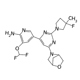 CC1(F)CCN(c2nc(-c3cnc(N)c(OC(F)F)c3)cc(N3CC4CC3CO4)n2)C1